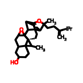 C=C(CCC1(C)OC2C3CC1C21CC[C@]24C(C)C25CCC(O)CC5CC2OC24C31)C(C)C